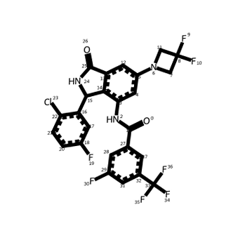 O=C(Nc1cc(N2CC(F)(F)C2)cc2c1C(c1cc(F)ccc1Cl)NC2=O)c1cc(F)cc(C(F)(F)F)c1